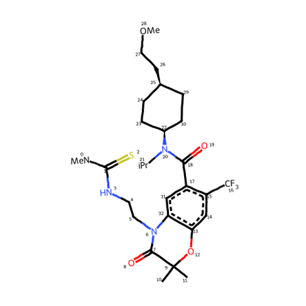 CNC(=S)NCCN1C(=O)C(C)(C)Oc2cc(C(F)(F)F)c(C(=O)N(C(C)C)[C@H]3CC[C@@H](CCOC)CC3)cc21